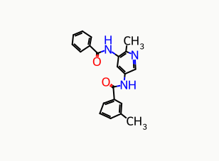 Cc1cccc(C(=O)Nc2cnc(C)c(NC(=O)c3ccccc3)c2)c1